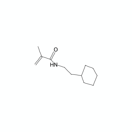 C=C(C)C(=O)NCCC1CCCCC1